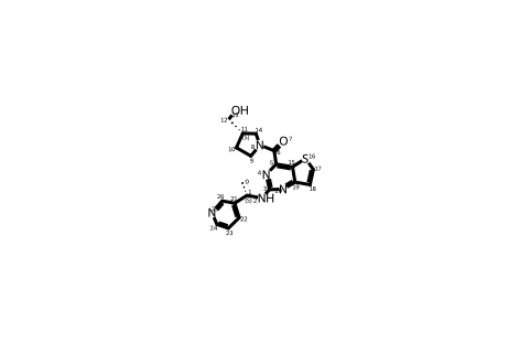 C[C@H](Nc1nc(C(=O)N2CC[C@H](CO)C2)c2sccc2n1)c1cccnc1